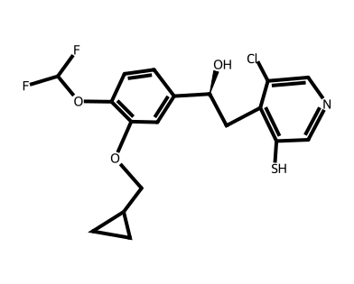 O[C@@H](Cc1c(S)cncc1Cl)c1ccc(OC(F)F)c(OCC2CC2)c1